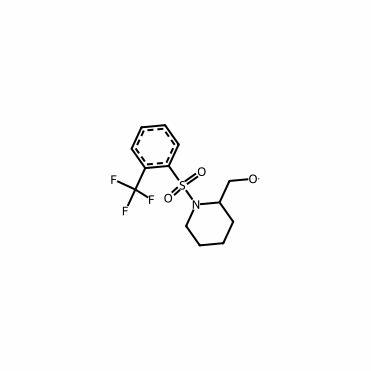 [O]CC1CCCCN1S(=O)(=O)c1ccccc1C(F)(F)F